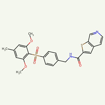 COc1cc(C)cc(OC)c1S(=O)(=O)c1ccc(CNC(=O)c2cc3ccncc3s2)cc1